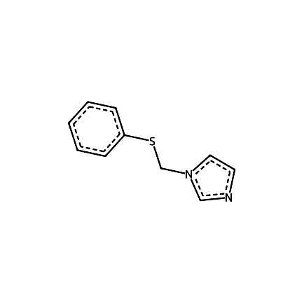 c1ccc(SCn2ccnc2)cc1